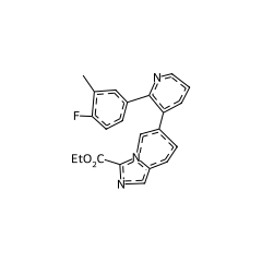 CCOC(=O)c1ncc2ccc(-c3cccnc3-c3ccc(F)c(C)c3)cn12